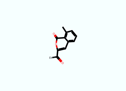 CCC(=O)c1cc2cccc(C)c2c(=O)o1